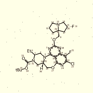 CCC1CN2c3nc(OC[C@@]45CCCN4C[C@H](F)C5)nc4c(F)c(Cl)nc(c34)OC[C@@H]2CN1C(=O)OC(C)(C)C